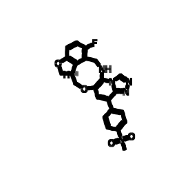 CS(=O)(=O)c1ccc(-c2cc3c(n4cnnc24)NCc2c(F)ccc4c2[C@@H](CO4)CO3)cc1